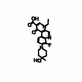 CCn1cc(C(=O)O)c(=O)c2c3ccc(N4CCC(C)(O)CC4)c(F)c3ncc21